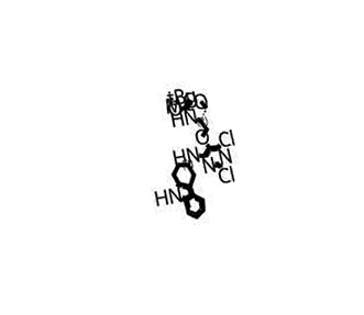 COC[C@H](COc1c(Cl)nc(Cl)nc1N[C@@H]1CCc2[nH]c3ccccc3c2C1)NC(=O)OC(C)(C)C